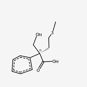 CSCC[C@](CO)(C(=O)O)c1ccccc1